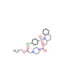 CCOC(=O)CN1CCN(C(=O)OCC2CCc3ccccc3N2S(=O)(=O)c2ccc(Cl)cc2)CC1